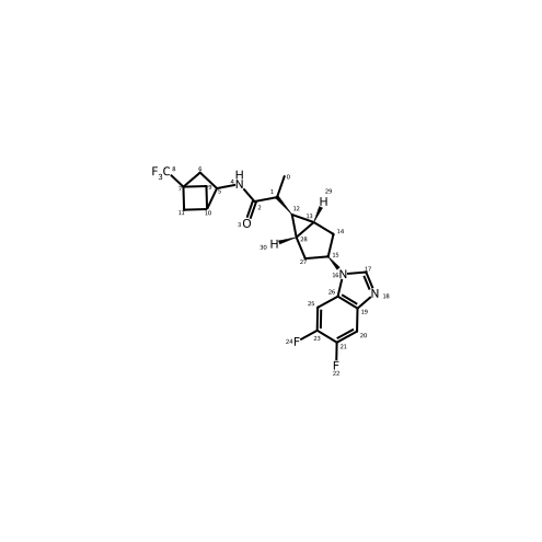 CC(C(=O)NC1CC2(C(F)(F)F)CC1C2)[C@H]1[C@@H]2C[C@@H](n3cnc4cc(F)c(F)cc43)C[C@@H]21